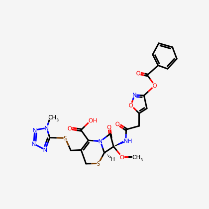 CO[C@@]1(NC(=O)Cc2cc(OC(=O)c3ccccc3)no2)C(=O)N2C(C(=O)O)=C(CSc3nnnn3C)CS[C@@H]21